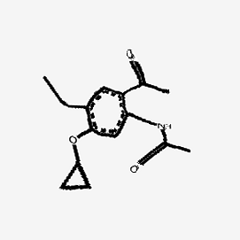 CCc1cc(C(C)=O)c(NC(C)=O)cc1OC1CC1